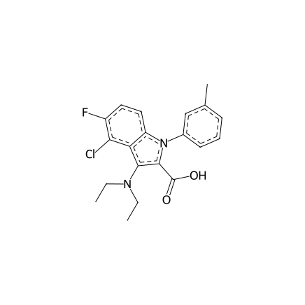 CCN(CC)c1c(C(=O)O)n(-c2cccc(C)c2)c2ccc(F)c(Cl)c12